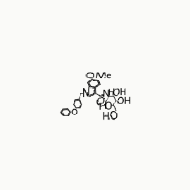 COc1ccc2c(C3=N[C@@H]4C(O)[C@H](O)C(CO)O[C@@H]4O3)cn(Cc3ccc(Oc4ccccc4)cc3)c2c1